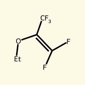 CCOC(=C(F)F)C(F)(F)F